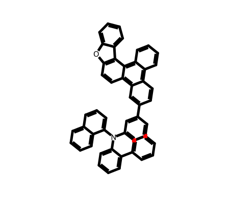 c1ccc(-c2ccccc2N(c2cccc(-c3ccc4c5ccccc5c5c(ccc6oc7ccccc7c65)c4c3)c2)c2cccc3ccccc23)cc1